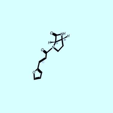 O=C1N[C@@H]2CCN(C(=O)/C=C/c3ccco3)[C@H]12